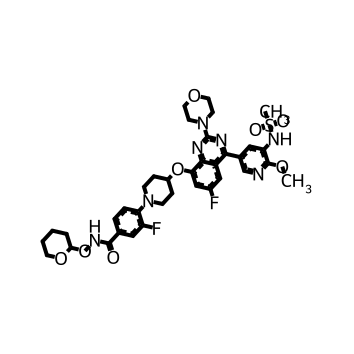 COc1ncc(-c2nc(N3CCOCC3)nc3c(OC4CCN(c5ccc(C(=O)NOC6CCCCO6)cc5F)CC4)cc(F)cc23)cc1NS(C)(=O)=O